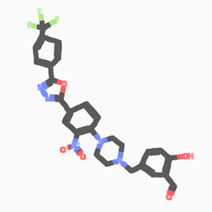 O=Cc1cc(CN2CCN(c3ccc(-c4nnc(-c5ccc(C(F)(F)F)cc5)o4)cc3[N+](=O)[O-])CC2)ccc1O